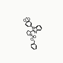 O=C(OCc1ccccc1)N1CCCC1c1nc2ccccc2n1-c1ccc2c(c1)OCO2